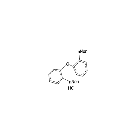 CCCCCCCCCc1ccccc1Oc1ccccc1CCCCCCCCC.Cl